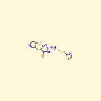 Cc1nc(NCCSCc2nccs2)[nH]c(=O)c1Cc1cccnc1